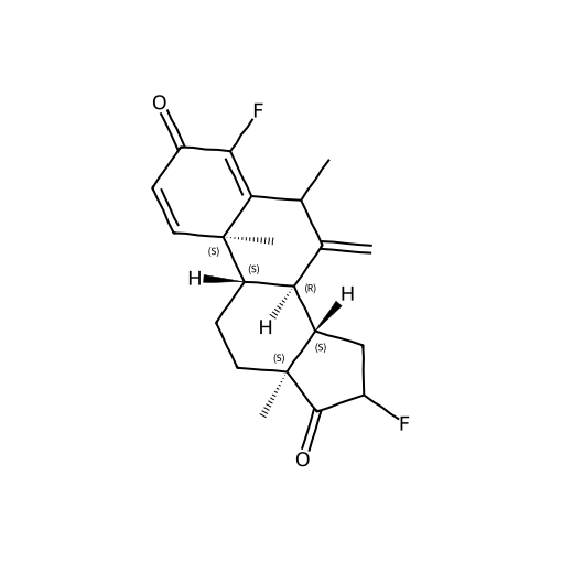 C=C1C(C)C2=C(F)C(=O)C=C[C@]2(C)[C@H]2CC[C@]3(C)C(=O)C(F)C[C@H]3[C@H]12